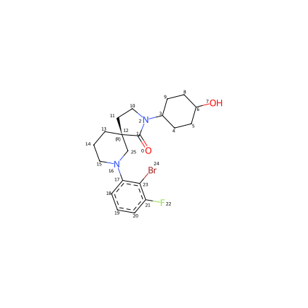 O=C1N(C2CCC(O)CC2)CC[C@@]12CCCN(c1cccc(F)c1Br)C2